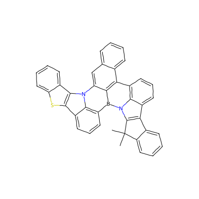 CC1(C)c2ccccc2-c2c1n1c3c(cccc23)-c2c3c(cc4ccccc24)-n2c4c(cccc4c4sc5ccccc5c42)B31